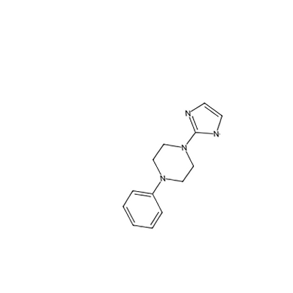 C1=CN=C(N2CCN(c3ccccc3)CC2)[N]1